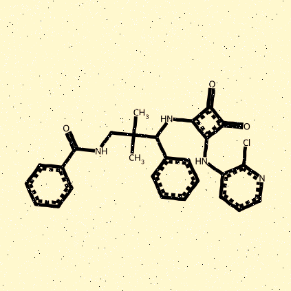 CC(C)(CNC(=O)c1ccccc1)C(Nc1c(Nc2cccnc2Cl)c(=O)c1=O)c1ccccc1